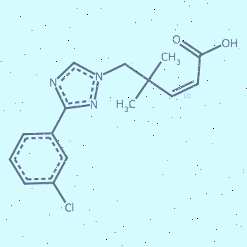 CC(C)(/C=C\C(=O)O)Cn1cnc(-c2cccc(Cl)c2)n1